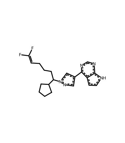 FC(F)=CCCCC(C1CCCC1)n1cc(-c2ncnc3[nH]ccc23)cn1